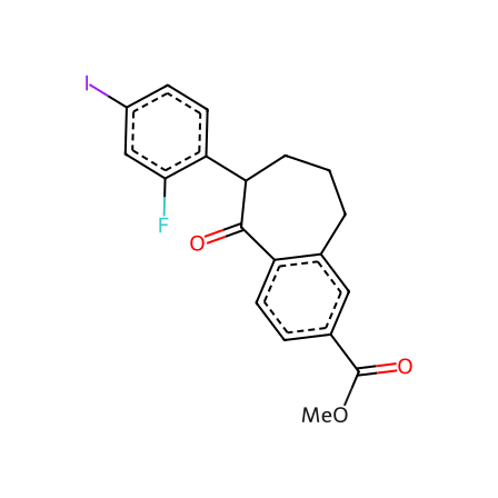 COC(=O)c1ccc2c(c1)CCCC(c1ccc(I)cc1F)C2=O